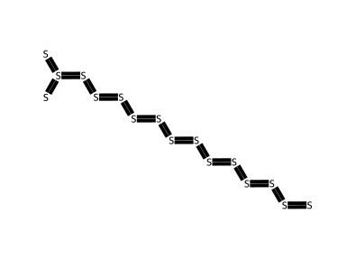 S=S=S=S=S=S=S=S=S=S=S=S=S=S(=S)=S